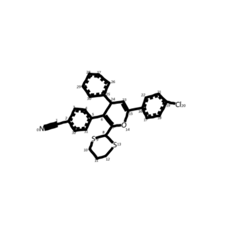 N#Cc1ccc(C2=C(C3SCCCS3)OC(c3ccc(Cl)cc3)=CC2c2ccccc2)cc1